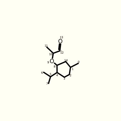 CC1CCC(C(C)C)C(OC(C)[C]=O)C1